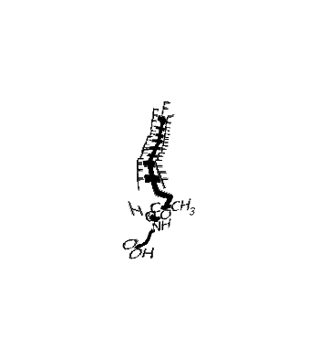 CC(C)(CCC(F)(F)C(F)(F)C(F)(F)C(F)(F)C(F)(F)C(F)(F)C(F)(F)C(F)(F)F)OC(=O)NCCC(=O)O